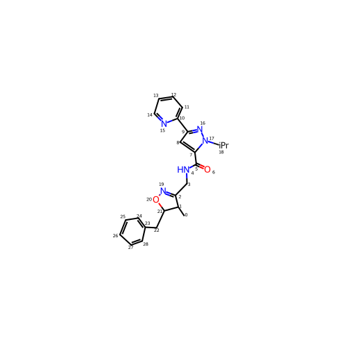 CC1C(CNC(=O)c2cc(-c3ccccn3)nn2C(C)C)=NOC1Cc1ccccc1